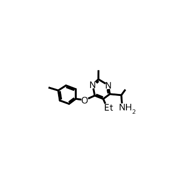 CCc1c(Oc2ccc(C)cc2)nc(C)nc1C(C)N